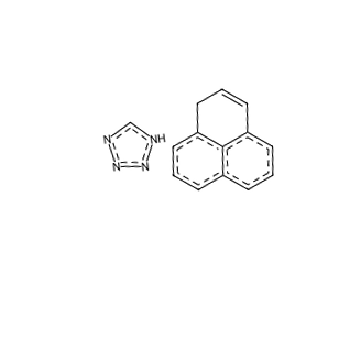 C1=Cc2cccc3cccc(c23)C1.c1nnn[nH]1